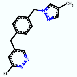 CCc1cc(Cc2ccc(Cn3cc(C)cn3)cc2)cnn1